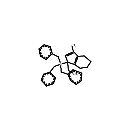 CC[C]1([Ti]([CH2]c2ccccc2)([CH2]c2ccccc2)[CH2]c2ccccc2)C=C(C)C2=C1CCCC2